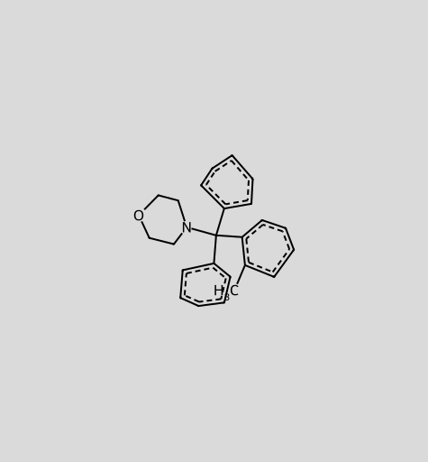 Cc1ccccc1C(c1ccccc1)(c1ccccc1)N1CCOCC1